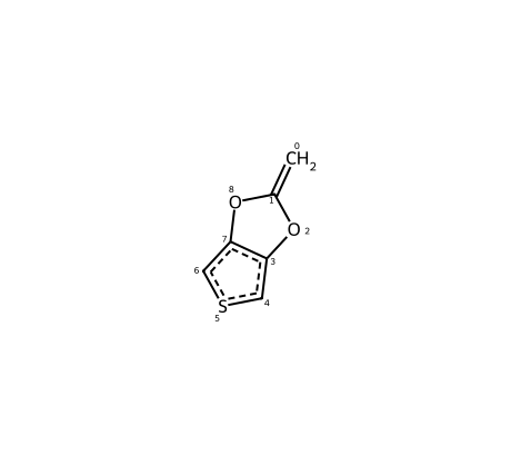 C=C1Oc2cscc2O1